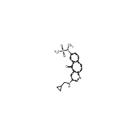 CN(c1ccc2ccc3ncc(NCC4CC4)cc3c(=O)c2c1)S(C)(=O)=O